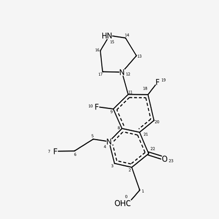 O=CCc1cn(CCF)c2c(F)c(N3CCNCC3)c(F)cc2c1=O